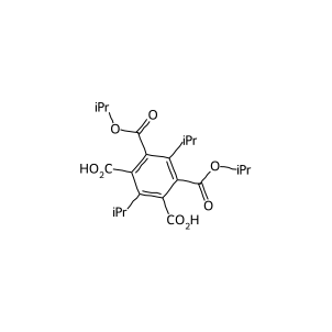 CC(C)OC(=O)c1c(C(=O)O)c(C(C)C)c(C(=O)O)c(C(=O)OC(C)C)c1C(C)C